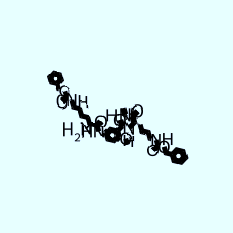 CNC(=O)[C@H](CCCCNC(=O)OCc1ccccc1)NC(=O)c1cc(NC(=O)[C@@H](N)CCCCNC(=O)OCc2ccccc2)ccc1OC